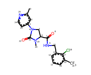 Cc1cc(N2CC(C(=O)NCc3cccc(C(F)(F)F)c3Cl)N(C)C2=O)ccn1